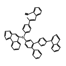 C#Cc1ccccc1/C=C(\C)c1ccc(N(c2ccc(-c3ccccc3)c(-c3ccc(-c4cccc5ccccc45)cc3)c2)c2cc3ccccc3c3ccccc23)cc1